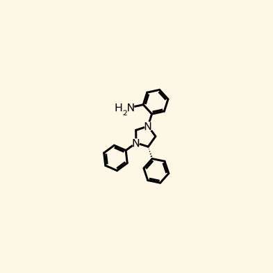 Nc1ccccc1N1C[C@H](c2ccccc2)N(c2ccccc2)C1